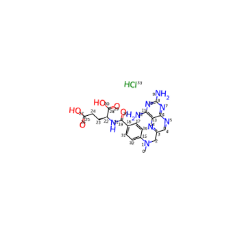 CN(Cc1cnc2nc(N)nc(N)c2n1)c1ccc(C(=O)N[C@@H](CCC(=O)O)C(=O)O)cc1.Cl